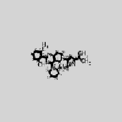 Cc1cccc(C)c1-c1nc2c(c(N3CCCC[C@@H]3C)n1)CN(c1cc(C(C)C)nn1C)CC2